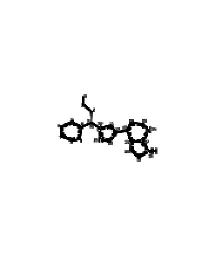 CCC[C@H](c1ccccc1)n1cc(-c2ccnc3[nH]ccc23)cn1